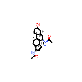 CC(=O)N[C@H]1C[C@@H]2CC(O)C=C[C@]2(C)C2=C1[C@@H]1C=C[C@H](NC(C)=O)[C@@]1(C)CC2